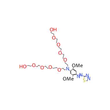 COc1cc(N(CCOCCOCCOCCOCCO)CCOCCOCCOCCOCCO)c(OC)cc1/N=N/c1nncs1